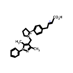 Cc1nn(-c2ccccc2)c(C)c1CN1CCC[C@H]1c1ccc(C/C=C/C(=O)O)cc1